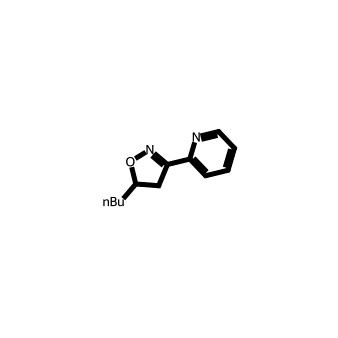 CCCCC1CC(c2ccccn2)=NO1